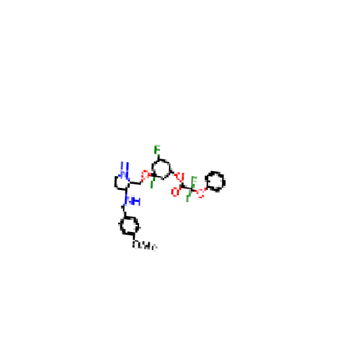 COc1ccc(CNC2CCNC2COC2(F)CC(F)CC(OC(=O)C(F)(F)Oc3ccccc3)C2)cc1